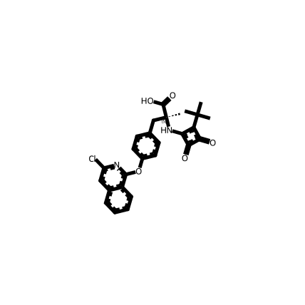 CC(C)(C)c1c(N[C@@](C)(Cc2ccc(Oc3nc(Cl)cc4ccccc34)cc2)C(=O)O)c(=O)c1=O